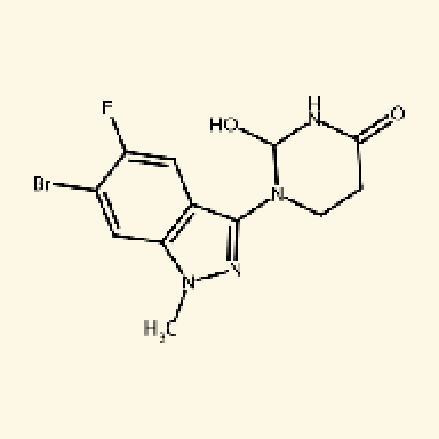 Cn1nc(N2CCC(=O)NC2O)c2cc(F)c(Br)cc21